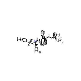 C/C(=C\n1nnn(CCN(C)C)c1=O)C(=O)O